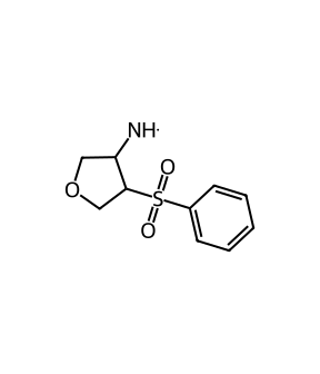 [NH]C1COCC1S(=O)(=O)c1ccccc1